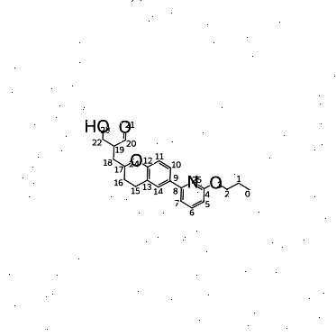 CCCOc1cccc(-c2ccc3c(c2)CCC(CC(C=O)CO)O3)n1